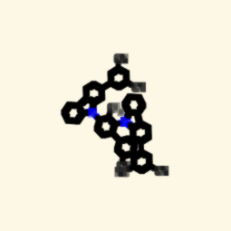 N#Cc1cc(C#N)cc(-c2ccc3c4ccccc4n(-c4ccc(-c5cccc(C#N)c5)c(-n5c6ccccc6c6ccc(-c7cc(C#N)cc(C#N)c7)cc65)c4C(F)(F)F)c3c2)c1